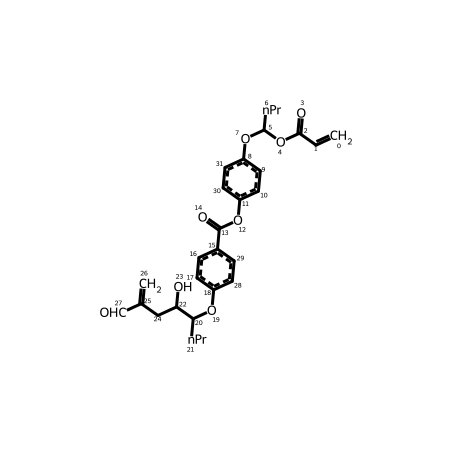 C=CC(=O)OC(CCC)Oc1ccc(OC(=O)c2ccc(OC(CCC)C(O)CC(=C)C=O)cc2)cc1